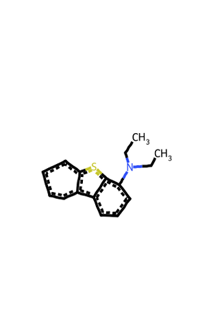 CCN(CC)c1cccc2c1sc1ccccc12